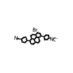 [C-]#[N+]c1ccc(-c2cc(Br)c3ccc4c(-c5ccc(C#N)cc5)ccc5ccc2c3c54)cc1